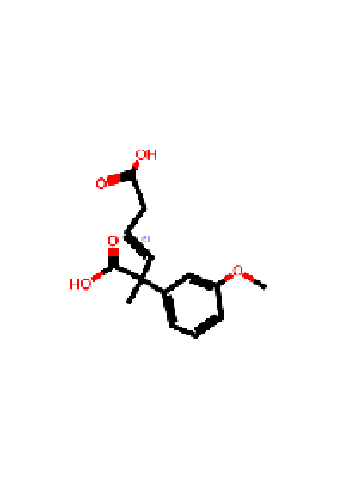 COc1cccc(C(C)(/C=C/CC(=O)O)C(=O)O)c1